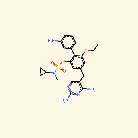 CCOc1cc(Cc2cnc(N)nc2N)cc(OS(=O)(=O)N(C)C2CC2)c1-c1cccc(N)c1